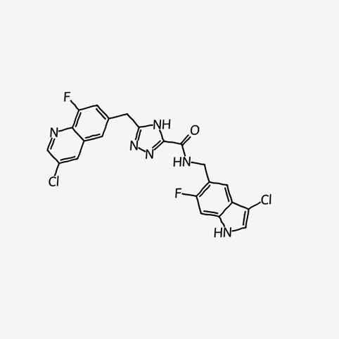 O=C(NCc1cc2c(Cl)c[nH]c2cc1F)c1nnc(Cc2cc(F)c3ncc(Cl)cc3c2)[nH]1